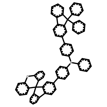 c1ccc(N(c2ccc(-c3ccc4c(c3)C(c3ccccc3)(c3ccccc3)c3ccccc3-4)cc2)c2ccc(-c3ccc4c(c3)C3(c5ccccc5Oc5ccccc53)c3ccccc3-4)cc2)cc1